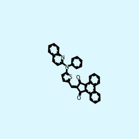 O=C1C(=Cc2ccc(N(c3ccccc3)c3ccc4ccccc4n3)s2)C(=O)c2c1c1ccccc1c1ccccc21